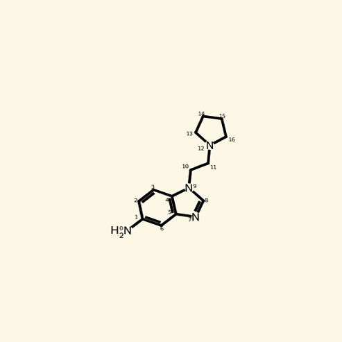 Nc1ccc2c(c1)ncn2CCN1CCCC1